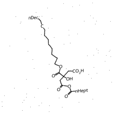 CCCCCCCCCCCCCCCCCCCCOC(=O)C(O)(CC(=O)O)CC(=O)OC(=O)CCCCCCC